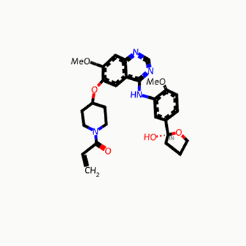 C=CC(=O)N1CCC(Oc2cc3c(Nc4cc([C@]5(O)CCCO5)ccc4OC)ncnc3cc2OC)CC1